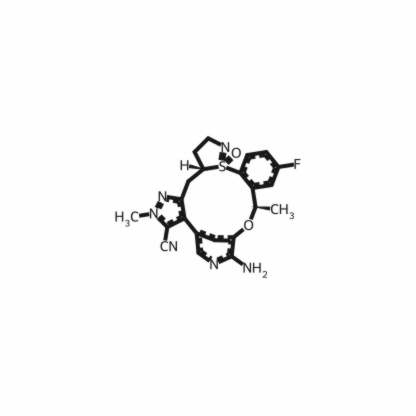 C[C@H]1Oc2cc(cnc2N)-c2c(nn(C)c2C#N)C[C@@H]2CCN=S2(=O)c2ccc(F)cc21